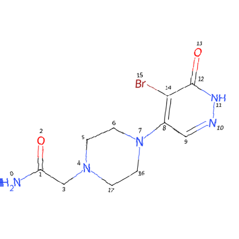 NC(=O)CN1CCN(c2cn[nH]c(=O)c2Br)CC1